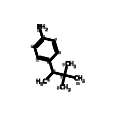 Bc1ccc(C(C)C(C)(C)C)cc1